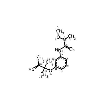 CON(C)C(=O)Nc1cccc(OC(C)(C)C(N)=S)c1